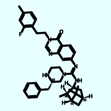 Cc1ccc(CCn2cnc3cc(N=C(N[C@H]4C[C@H]5C[C@H]([C@H]4C)C5(C)C)N4CCN[C@@H](Cc5ccccc5)C4)ccc3c2=O)c(F)c1